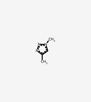 Cc1cn(C)nn1